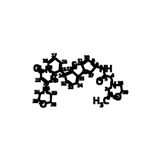 C[C@H]1CN(CC(=O)Nc2ccc3sc4c(-c5cccn6c(=O)cc(N7CCOCC7)nc56)cccc4c3c2)CCO1